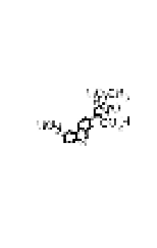 C[C@@H](O)[C@H]1C(=O)N2C(C(=O)O)=C(c3ccc4c(cnc5ccc(C=NO)cc54)c3)C[C@H]12